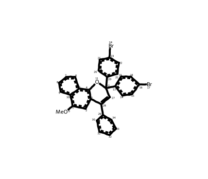 COc1cc2c(c3ccccc13)OC(c1ccc(Br)cc1)(c1ccc(Br)cc1)C=C2c1ccccc1